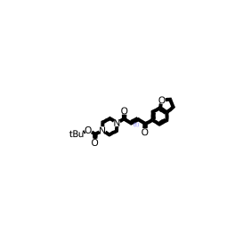 CC(C)(C)OC(=O)N1CCN(C(=O)/C=C/C(=O)c2ccc3c(c2)OCC3)CC1